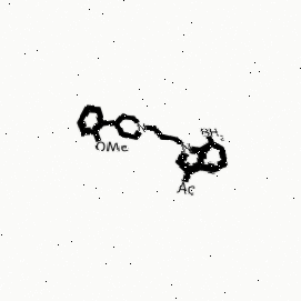 Bc1cccc2c(C(C)=O)cn(CCCN3CCC(c4ccccc4OC)CC3)c12